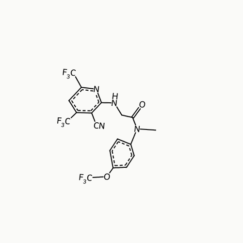 CN(C(=O)CNc1nc(C(F)(F)F)cc(C(F)(F)F)c1C#N)c1ccc(OC(F)(F)F)cc1